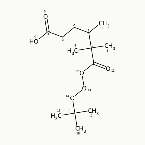 CC(CCC(=O)O)C(C)(C)C(=O)OOOC(C)(C)C